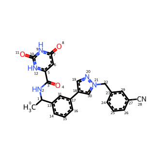 CC(NC(=O)c1cc(=O)[nH]c(=O)[nH]1)c1cccc(-c2cnn(Cc3cccc(C#N)c3)c2)c1